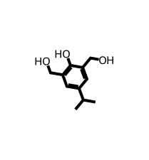 CC(C)c1cc(CO)c(O)c(CO)c1